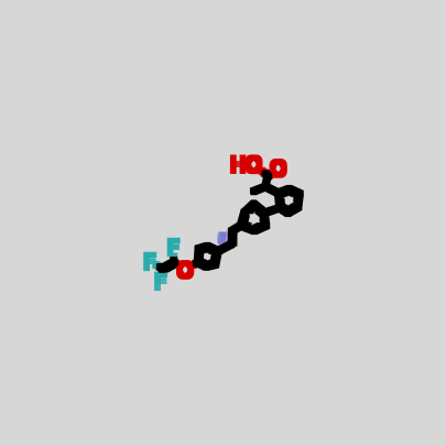 CC(C(=O)O)c1ccccc1-c1ccc(/C=C/c2ccc(OC(F)=C(F)F)cc2)cc1